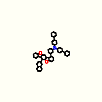 c1ccc(-c2ccc(N(c3ccc(-c4ccccc4)cc3)c3cccc(-c4cccc5oc6c(-c7ccc8ccccc8c7)c7c(cc6c45)oc4ccccc47)c3)cc2)cc1